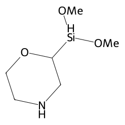 CO[SiH](OC)C1CNCCO1